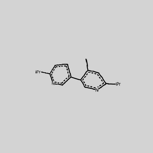 Cc1cc(C(C)C)ncc1-c1ccc(C(C)C)nc1